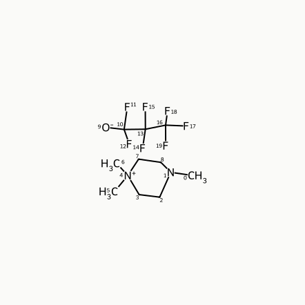 CN1CC[N+](C)(C)CC1.[O-]C(F)(F)C(F)(F)C(F)(F)F